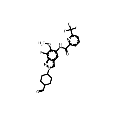 COc1c(NC(=O)c2cccc(C(F)(F)F)n2)cc2cn(C3CCC(C=O)CC3)nc2c1F